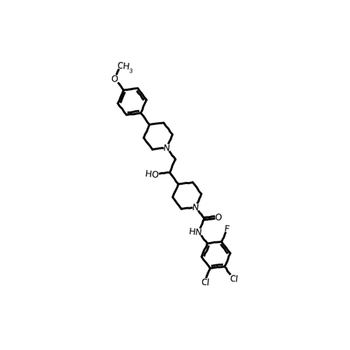 COc1ccc(C2CCN(CC(O)C3CCN(C(=O)Nc4cc(Cl)c(Cl)cc4F)CC3)CC2)cc1